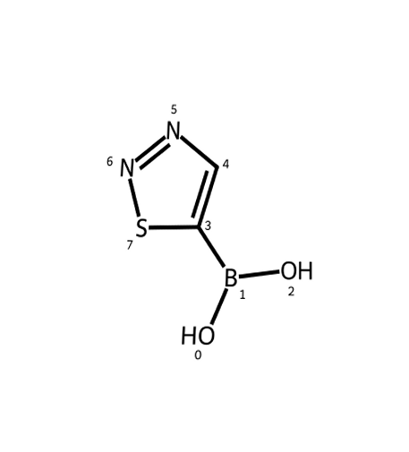 OB(O)c1cnns1